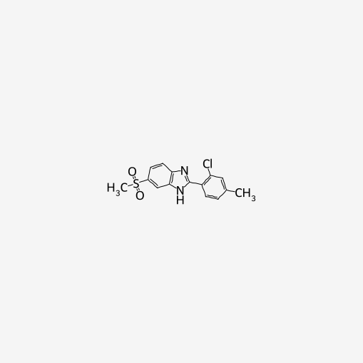 Cc1ccc(-c2nc3ccc(S(C)(=O)=O)cc3[nH]2)c(Cl)c1